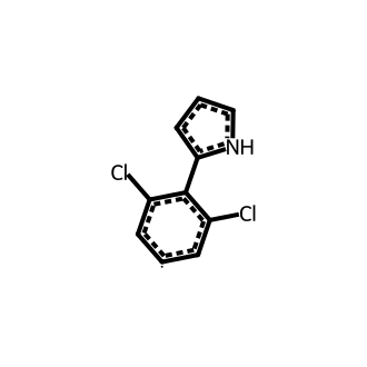 Clc1c[c]cc(Cl)c1-c1ccc[nH]1